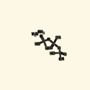 O.O=P(O)(O)OP(=O)(O)OP(=O)(O)O.[AlH3]